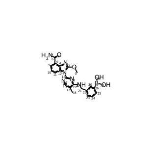 COc1nc2c(C(N)=O)cccc2n1-c1nnc(C)c(NCc2cccc(B(O)O)c2)n1